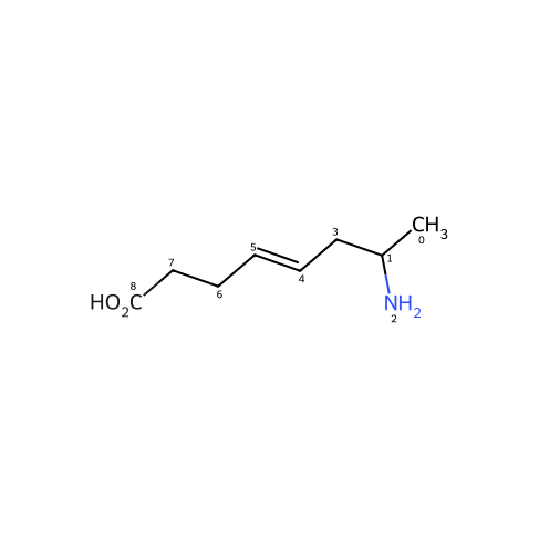 CC(N)C/C=C/CCC(=O)O